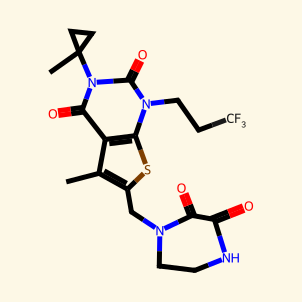 Cc1c(CN2CCNC(=O)C2=O)sc2c1c(=O)n(C1(C)CC1)c(=O)n2CCC(F)(F)F